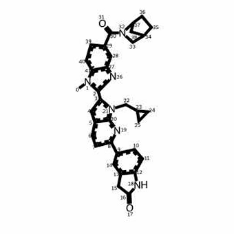 Cn1c(-c2cc3ccc(-c4ccc5c(c4)CC(=O)N5)nc3n2CC2CC2)nc2cc(C(=O)N3CC4CCC3C4)ccc21